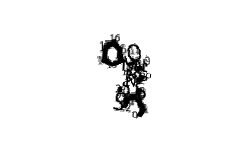 CCC(Sc1nnc(N(C)C(=O)N(C)C2CCCCC2)s1)C1=CSCS1